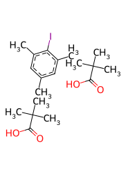 CC(C)(C)C(=O)O.CC(C)(C)C(=O)O.Cc1cc(C)c(I)c(C)c1